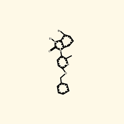 CCn1c(=O)n(-c2ccc(OCc3ccccc3)nc2C)c2cccc(Br)c21